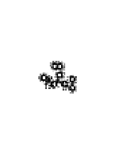 CC(C)(C)c1c(-c2cccc(N(c3ccc(-c4ccccc4-c4ccccc4)cc3)c3ccc(-c4cccc5ccccc45)cc3)c2)oc2ccccc12